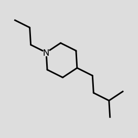 CCCN1CCC(CCC(C)C)CC1